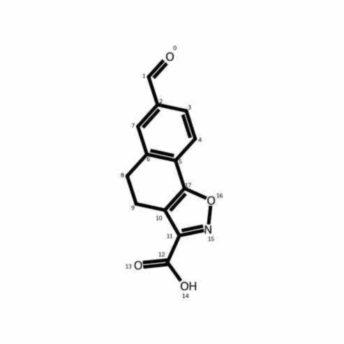 O=Cc1ccc2c(c1)CCc1c(C(=O)O)noc1-2